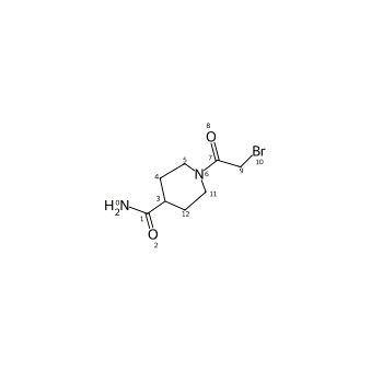 NC(=O)C1CCN(C(=O)CBr)CC1